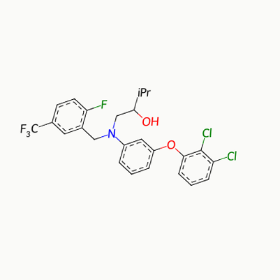 CC(C)C(O)CN(Cc1cc(C(F)(F)F)ccc1F)c1cccc(Oc2cccc(Cl)c2Cl)c1